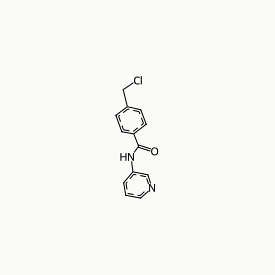 O=C(Nc1cccnc1)c1ccc(CCl)cc1